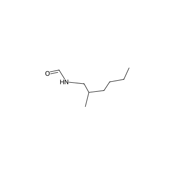 CCCCC(C)CNC=O